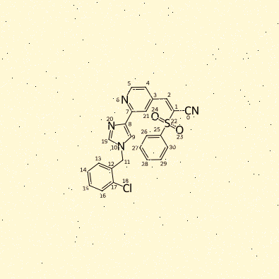 N#CC(=Cc1ccnc(-c2cn(Cc3ccccc3Cl)cn2)c1)S(=O)(=O)c1ccccc1